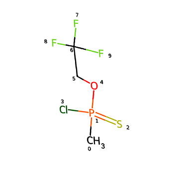 CP(=S)(Cl)OCC(F)(F)F